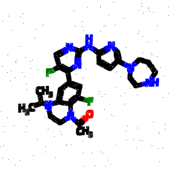 CC(=O)N1CCN(C(C)C)c2cc(-c3nc(Nc4ccc(N5CCCNCC5)cn4)ncc3F)cc(F)c21